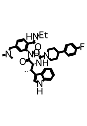 CCNC(=O)c1ccc(CN(C)C)cc1NC(=O)[C@H](NC(=O)N1CCC(c2ccc(F)cc2)CC1)[C@@H](C)c1c[nH]c2ccccc12